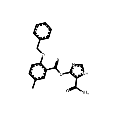 Cc1ccc(OCc2ccccc2)c(C(=S)Oc2nc[nH]c2C(N)=O)c1